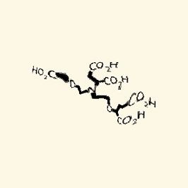 O=C(O)COCCN(CCOC(CC(=O)O)C(=O)O)[C@@H](CC(=O)O)C(=O)O